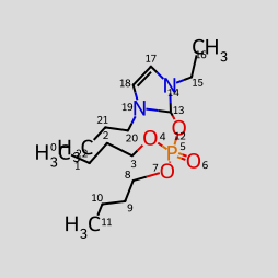 CCCCOP(=O)(OCCCC)OC1N(CC)C=CN1CCC